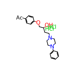 CC(=O)c1ccc(OCC(O)CCN2CCN(c3ccccc3)CC2)cc1.Cl.Cl